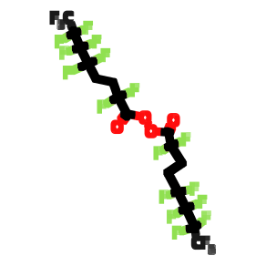 O=C(OOC(=O)C(F)(F)CCC(F)(F)C(F)(F)C(F)(F)C(F)(F)F)C(F)(F)CCC(F)(F)C(F)(F)C(F)(F)C(F)(F)F